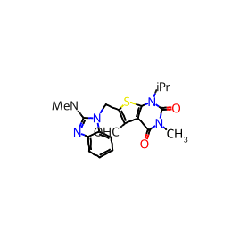 CNc1nc2ccccc2n1Cc1sc2c(c1C=O)c(=O)n(C)c(=O)n2C(C)C